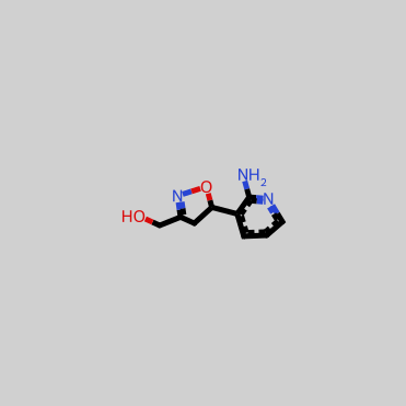 Nc1ncccc1C1CC(CO)=NO1